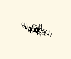 COCCN1CCC(N(C)c2cc3[nH]c(SC(C)(C)C)nc3cc2Cl)C1